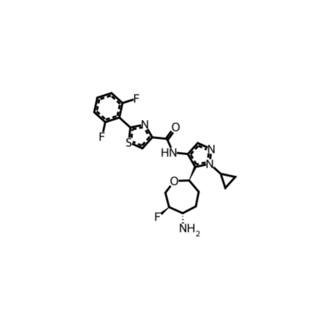 N[C@H]1CC[C@H](c2c(NC(=O)c3csc(-c4c(F)cccc4F)n3)cnn2C2CC2)OC[C@@H]1F